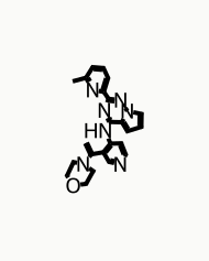 C=C(c1cnccc1Nc1nc(-c2cccc(C)n2)nn2cccc12)N1CCOCC1